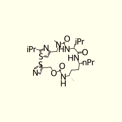 CCC[C@@H](CC[C@H](C)NC(=O)OCc1cncs1)NC(=O)[C@@H](NC(=O)N(C)Cc1csc(C(C)C)n1)C(C)C